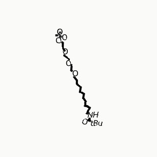 CC(C)(C)C(=O)NCCCCCCCCCCCOCCOCCOCCOS(C)(=O)=O